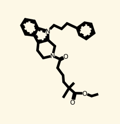 CCOC(=O)C(C)(C)CCCC(=O)N1CCc2c(n(CCCc3ccccc3)c3ccccc23)C1